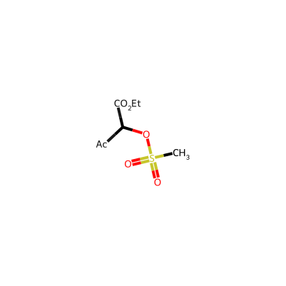 CCOC(=O)C(OS(C)(=O)=O)C(C)=O